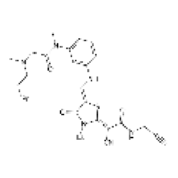 C#CCNC(=O)C(C#N)=c1sc(=CNc2cccc(N(C)C(=O)CN(C)CCC(C)C)c2)c(=O)n1CC